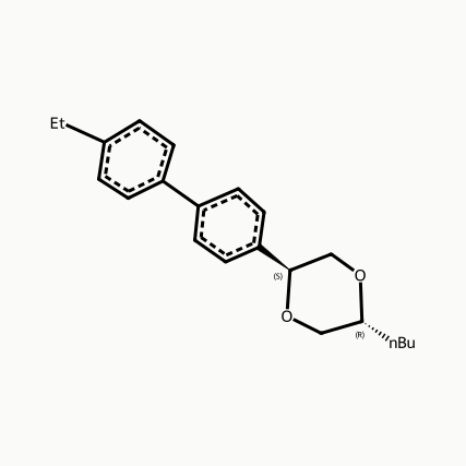 CCCC[C@@H]1CO[C@@H](c2ccc(-c3ccc(CC)cc3)cc2)CO1